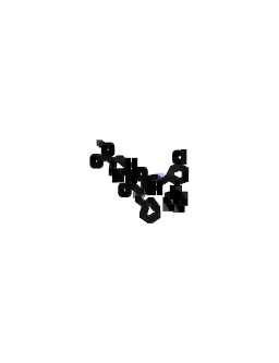 COC(=O)c1ccc(NC(=O)[C@H](Cc2ccccc2)NC(=O)/C=C/c2cc(Cl)ccc2-n2cnnn2)nc1